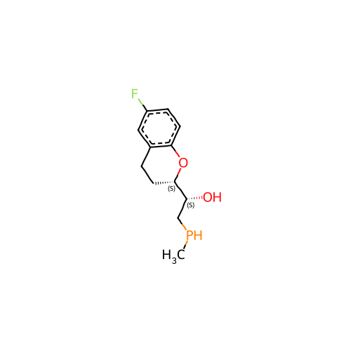 CPC[C@@H](O)[C@@H]1CCc2cc(F)ccc2O1